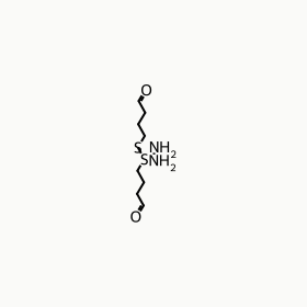 NN.O=CCCCSSCCCC=O